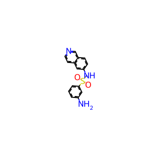 Nc1cccc(S(=O)(=O)Nc2ccc3cnccc3c2)c1